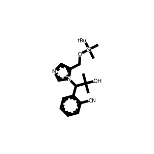 CC(C)(O)C(c1ccccc1C#N)n1cncc1CO[Si](C)(C)C(C)(C)C